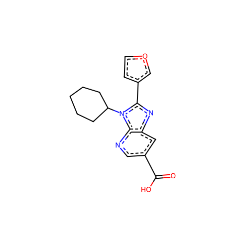 O=C(O)c1cnc2c(c1)nc(-c1ccoc1)n2C1CCCCC1